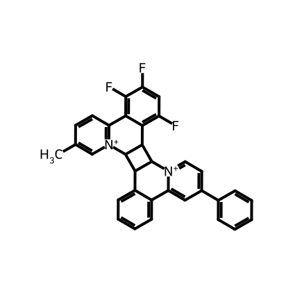 Cc1ccc2[n+](c1)C1C3c4ccccc4-c4cc(-c5ccccc5)cc[n+]4C3C1c1c(F)cc(F)c(F)c1-2